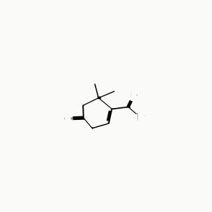 CCC(=O)C1=CCC(=O)CC1(C)C